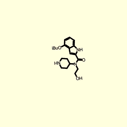 CC(C)COc1cccc2[nH]c(C(=O)N(CCO)C3CCNCC3)cc12